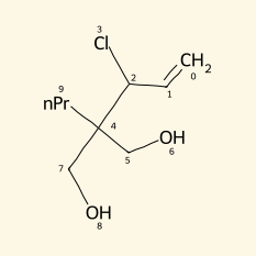 C=CC(Cl)C(CO)(CO)CCC